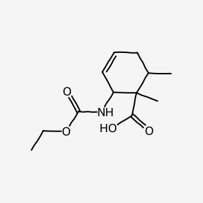 CCOC(=O)NC1C=CCC(C)C1(C)C(=O)O